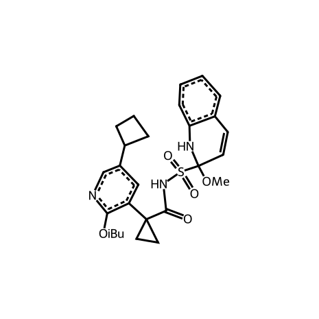 COC1(S(=O)(=O)NC(=O)C2(c3cc(C4CCC4)cnc3OCC(C)C)CC2)C=Cc2ccccc2N1